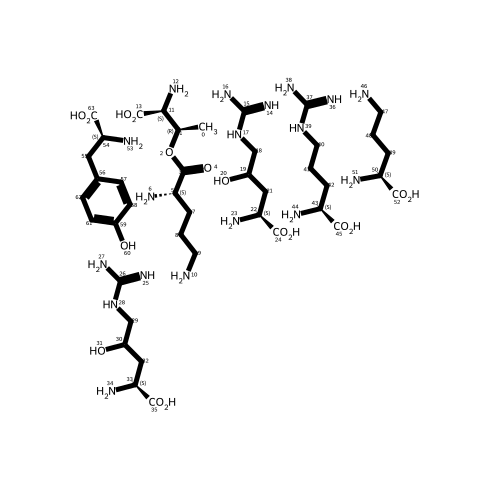 C[C@@H](OC(=O)[C@@H](N)CCCN)[C@H](N)C(=O)O.N=C(N)NCC(O)C[C@H](N)C(=O)O.N=C(N)NCC(O)C[C@H](N)C(=O)O.N=C(N)NCCC[C@H](N)C(=O)O.NCCC[C@H](N)C(=O)O.N[C@@H](Cc1ccc(O)cc1)C(=O)O